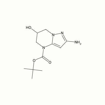 CC(C)(C)OC(=O)N1CC(O)Cn2nc(N)cc21